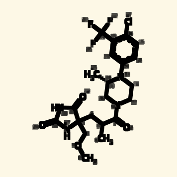 COCC1(CC(C)C(=O)N2CCN(c3ccc(Cl)c(C(F)(F)F)c3)[C@@H](C)C2)NC(=O)NC1=O